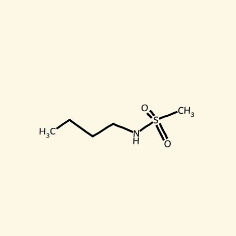 CCCCNS(C)(=O)=O